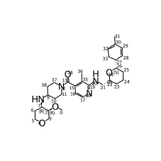 CO[C@H]1COCC[C@H]1NC1CCN(C(=O)c2ccnc(NC[C@H]3CCC[C@@H](C4C=CC(C)=CC4)O3)c2C)CC1